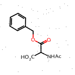 CC(=O)NC(C(=O)O)C(=O)OCc1ccccc1